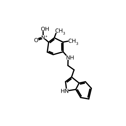 Cc1c(NCCc2c[nH]c3ccccc23)ccc([N+](=O)O)c1C